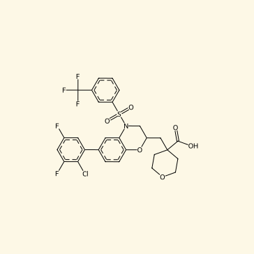 O=C(O)C1(CC2CN(S(=O)(=O)c3cccc(C(F)(F)F)c3)c3cc(-c4cc(F)cc(F)c4Cl)ccc3O2)CCOCC1